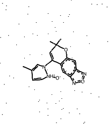 CC1=CN(C2=CC(C)(C)Oc3cc4nonc4cc32)[NH+]([O-])C=C1